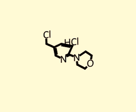 Cl.ClCc1ccc(N2CCOCC2)nc1